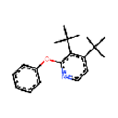 CC(C)(C)c1ccnc(Oc2ccccc2)c1C(C)(C)C